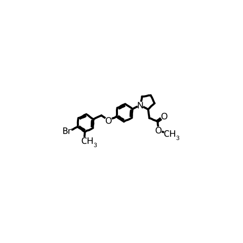 COC(=O)CC1CCCN1c1ccc(OCc2ccc(Br)c(C)c2)cc1